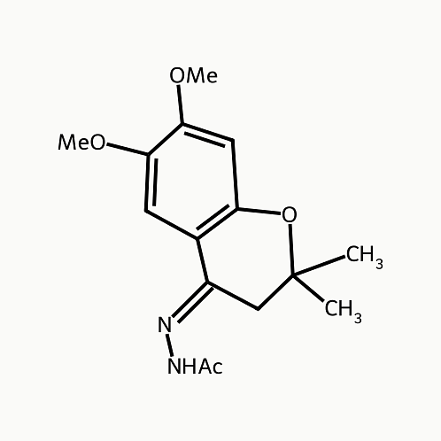 COc1cc2c(cc1OC)C(=NNC(C)=O)CC(C)(C)O2